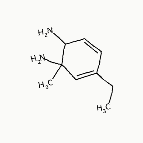 CCC1=CC(C)(N)C(N)C=C1